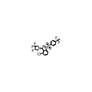 CC(F)(F)c1ccc(S(=O)(=O)n2nc(N3C[C@H](F)C(F)(F)C3)c3c(Cl)cccc32)cc1